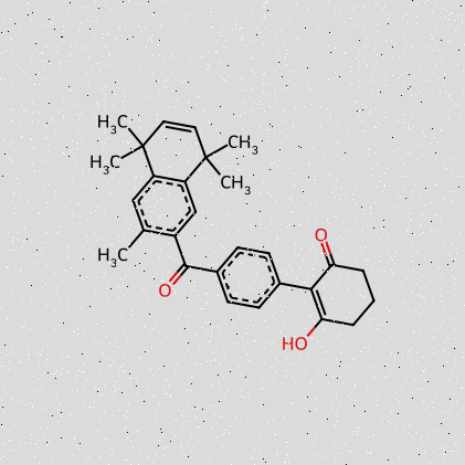 Cc1cc2c(cc1C(=O)c1ccc(C3=C(O)CCCC3=O)cc1)C(C)(C)C=CC2(C)C